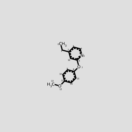 CCc1ccnc(Oc2ccc(OC)cc2)c1